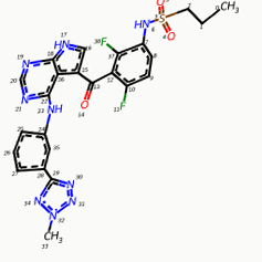 CCCS(=O)(=O)Nc1ccc(F)c(C(=O)c2c[nH]c3ncnc(Nc4cccc(-c5nnn(C)n5)c4)c23)c1F